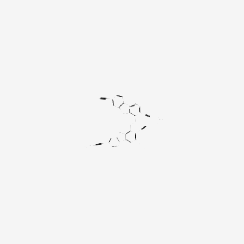 CC(C)(C)C#Cc1ccc2c(c1)Cc1c-2ccc(C#CC(C)(C)C)c1CCc1c(C#CC(C)(C)C)ccc2c1Cc1cc(C#CC(C)(C)C)ccc1-2.[Cl-].[Cl-].[Zr+2]